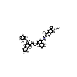 O=C(N/N=C/c1ccc(OCC(=O)N(Cc2cccnc2)CC2C=CSC2)c2ccccc12)c1ccc(O)c(Cl)c1